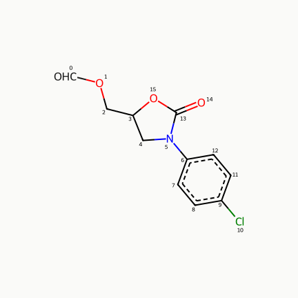 O=COCC1CN(c2ccc(Cl)cc2)C(=O)O1